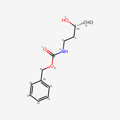 O=C[C@@H](O)CCNC(=O)OCc1ccccc1